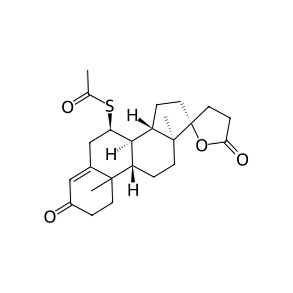 CC(=O)S[C@@H]1CC2=CC(=O)CCC2(C)[C@H]2CC[C@@]3(C)[C@@H](CC[C@@]34CCC(=O)O4)[C@H]12